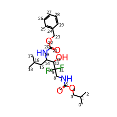 CC(C)COC(=O)NCC(F)(F)C(O)C(CC(C)C)NC(=O)OCc1ccccc1